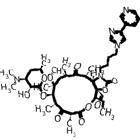 CC[C@H]1OC(=O)[C@H](C)C(=O)[C@H](C)[C@@H](OC2O[C@H](C)C[C@H](N(C)C)[C@H]2O)[C@@](C)(OC)C[C@@H](C)C(=O)[C@H](C)[C@H]2N(CCCCn3cnc(-c4cccnc4)c3)C(=O)O[C@]12C=O